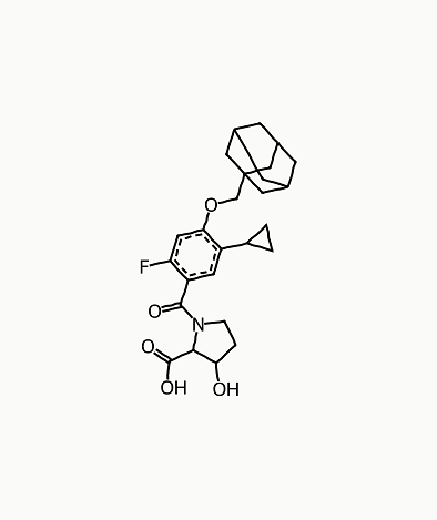 O=C(O)C1C(O)CCN1C(=O)c1cc(C2CC2)c(OCC23CC4CC(CC(C4)C2)C3)cc1F